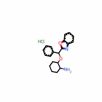 Cl.NC1CCCCC1OC(c1ccccc1)c1nc2ccccc2o1